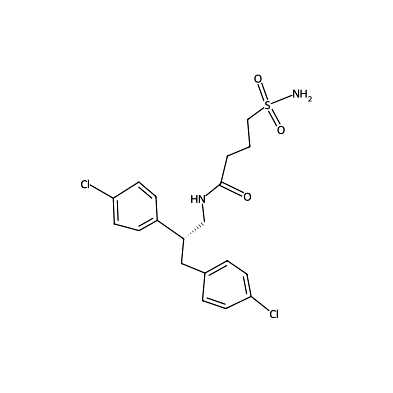 NS(=O)(=O)CCCC(=O)NC[C@H](Cc1ccc(Cl)cc1)c1ccc(Cl)cc1